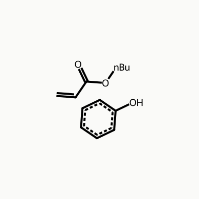 C=CC(=O)OCCCC.Oc1ccccc1